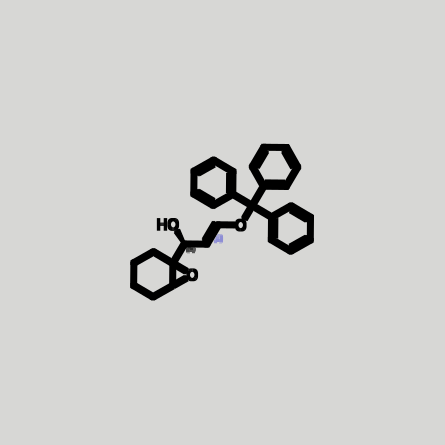 O[C@@H](/C=C/OC(c1ccccc1)(c1ccccc1)c1ccccc1)C12CCCCC1O2